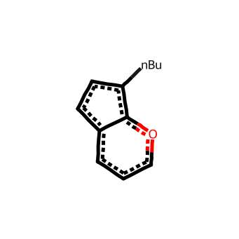 [CH2]CCCc1ccc2cccoc1-2